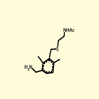 CC(=O)NCCSCc1c(C)ccc(CN)c1C